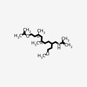 C=C(C)NCC(CCOC)CC[C@@H](C)C[C@@H](C)CCOC(=C)C